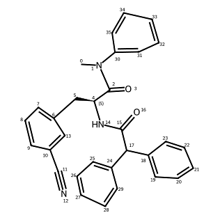 CN(C(=O)[C@H](Cc1cccc(C#N)c1)NC(=O)C(c1ccccc1)c1ccccc1)c1ccccc1